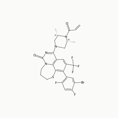 C=CC(=O)N1[C@H](C)CN(c2nc(=O)n3c4c(c(-c5cc(Br)c(F)cc5F)c(C(F)(F)F)cc24)SCCC3)C[C@@H]1C